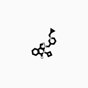 O=c1c2c(c3cnn(CC4CCCN(CC5CC5)C4)c3n1C1CCC1)CCCC2